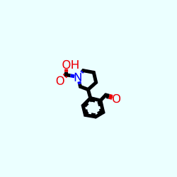 O=Cc1ccccc1C1CCCN(C(=O)O)C1